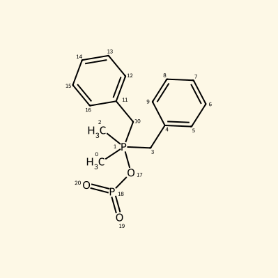 CP(C)(Cc1ccccc1)(Cc1ccccc1)OP(=O)=O